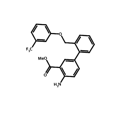 COC(=O)c1cc(-c2ccccc2COc2cccc(C(F)(F)F)c2)ccc1N